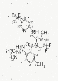 Cc1ccc(C(N)N(C)N)c(C(=O)N2CC(F)(F)CC(C)C2CNc2ccc(C(F)(F)F)cn2)c1